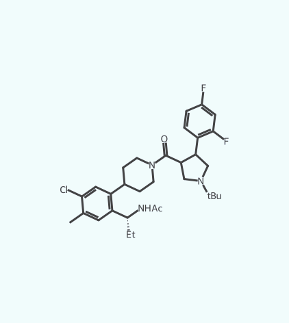 CC[C@@H](NC(C)=O)c1cc(C)c(Cl)cc1C1CCN(C(=O)C2CN(C(C)(C)C)CC2c2ccc(F)cc2F)CC1